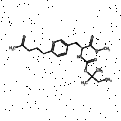 CCC(C)(C)OC(=O)N[C@@H](Cc1ccc(CCCC(C)=O)nc1)C(=O)OC